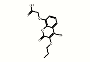 CCCOc1c(O)c2cccc(OCC(=O)O)c2oc1=O